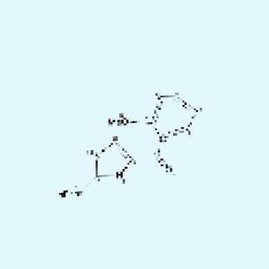 CCCCCc1nc(C(=O)c2ccccc2OC)cs1